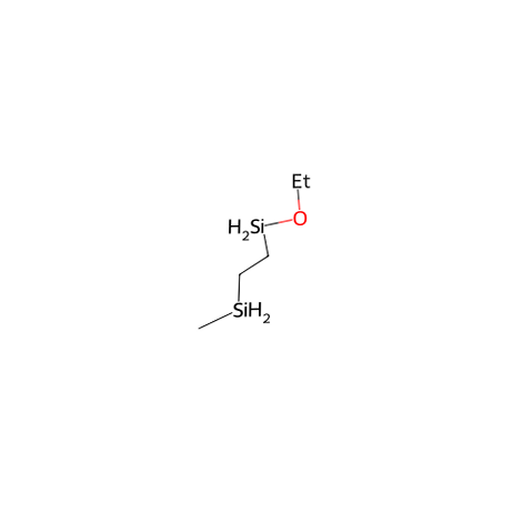 CCO[SiH2]CC[SiH2]C